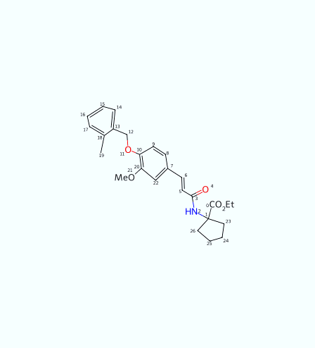 CCOC(=O)C1(NC(=O)C=Cc2ccc(OCc3ccccc3C)c(OC)c2)CCCC1